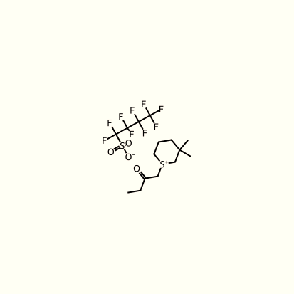 CCC(=O)C[S+]1CCCC(C)(C)C1.O=S(=O)([O-])C(F)(F)C(F)(F)C(F)(F)C(F)(F)F